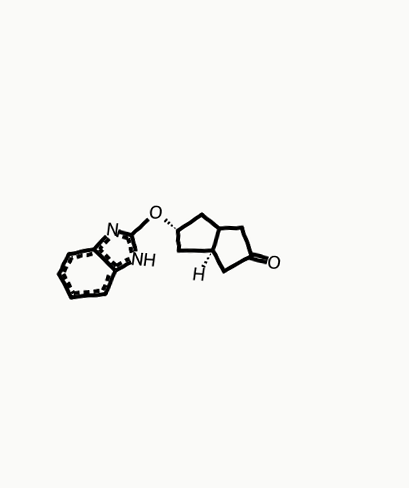 O=C1CC2C[C@@H](Oc3nc4ccccc4[nH]3)C[C@@H]2C1